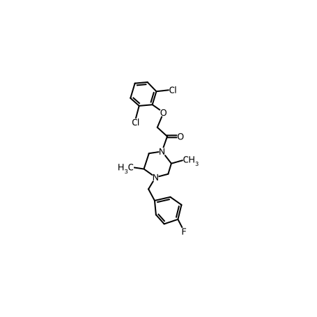 CC1CN(C(=O)COc2c(Cl)cccc2Cl)C(C)CN1Cc1ccc(F)cc1